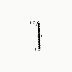 O=C(O)CCCCCCCCCCCCCCCCCCCCCO.[LiH]